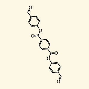 O=Cc1ccc(OC(=O)c2ccc(C(=O)Oc3ccc(C=O)cc3)cc2)cc1